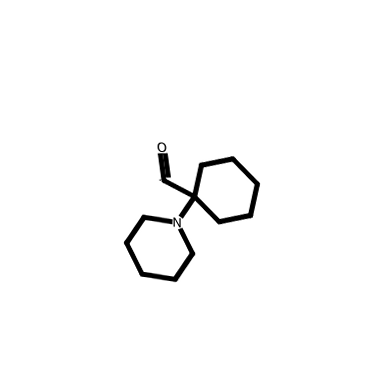 O=[C]C1(N2CCCCC2)CCCCC1